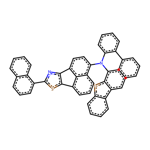 c1ccc(-c2ccccc2N(c2ccc3c4c(cccc24)-c2sc(-c4cccc5ccccc45)nc2-3)c2cccc3c2sc2ccccc23)cc1